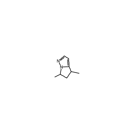 CC1CC(C)n2nccc21